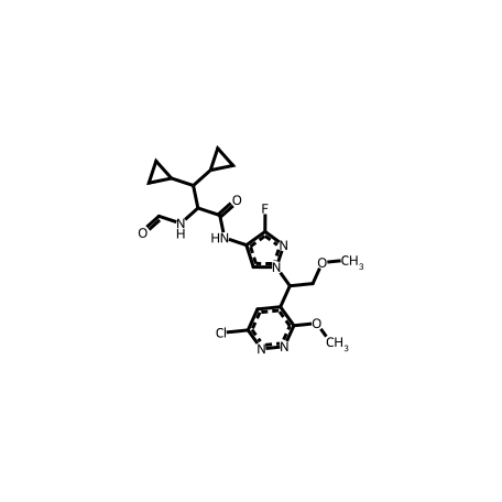 COCC(c1cc(Cl)nnc1OC)n1cc(NC(=O)C(NC=O)C(C2CC2)C2CC2)c(F)n1